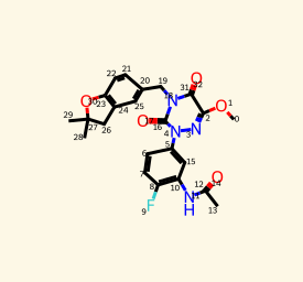 COc1nn(-c2ccc(F)c(NC(C)=O)c2)c(=O)n(Cc2ccc3c(c2)CC(C)(C)O3)c1=O